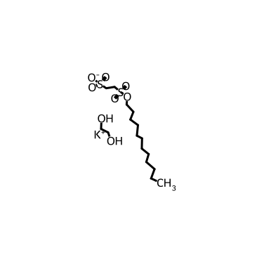 CCCCCCCCCCCCOS(=O)(=O)CCS(=O)(=O)[O-].OCCO.[K+]